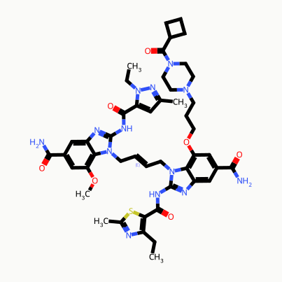 CCc1nc(C)sc1C(=O)Nc1nc2cc(C(N)=O)cc(OCCCN3CCN(C(=O)C4CCC4)CC3)c2n1C/C=C/Cn1c(NC(=O)c2cc(C)nn2CC)nc2cc(C(N)=O)cc(OC)c21